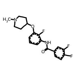 CN1CCC(Oc2cccc(NC(=O)c3ccc(F)c(F)c3)c2F)CC1